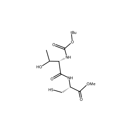 COC(=O)[C@H](CS)NC(=O)[C@@H](NC(=O)OC(C)(C)C)C(C)O